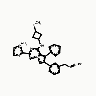 COC1CC(Nc2nc(-c3nccn3C)nn3cc(-c4cccc(CN=[N+]=[N-])c4)c(-c4ccccc4)c23)C1